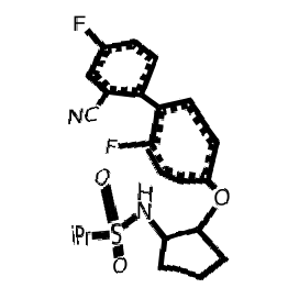 CC(C)S(=O)(=O)NC1CCCC1Oc1ccc(-c2ccc(F)cc2C#N)c(F)c1